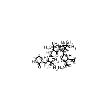 CC(C)(C)[C@H](NC(=O)N[C@H](CN1CCCNC1=O)C(C)(C)C)C(=O)N1C[C@H]2[C@@H]([C@H]1C(=O)NC(C(=O)C(N)=O)C1CC1)C2(C)C